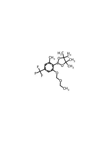 CCOCOc1cc(C(F)(F)F)cc(C)c1B1OC(C)(C)C(C)(C)O1